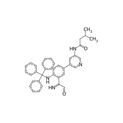 CC(C)CC(=O)Nc1cncc(-c2ccc(NC(c3ccccc3)(c3ccccc3)c3ccccc3)c(C(=N)C=O)c2)c1